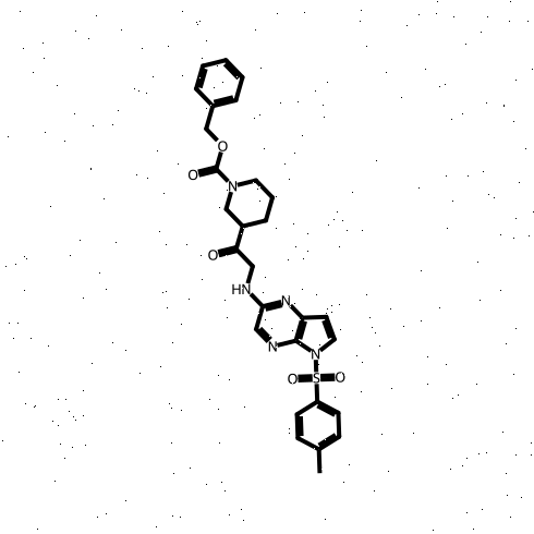 Cc1ccc(S(=O)(=O)n2ccc3nc(NCC(=O)C4CCCN(C(=O)OCc5ccccc5)C4)cnc32)cc1